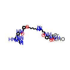 CCCC(C(=O)NC=O)N1Cc2c(NC(=O)CCCc3cn(CCCCCCCOc4cccc(CNC(=O)c5cccc(NCC(=N)N(C)C(=N)c6ccncn6)c5)c4)nn3)cccc2C1=O